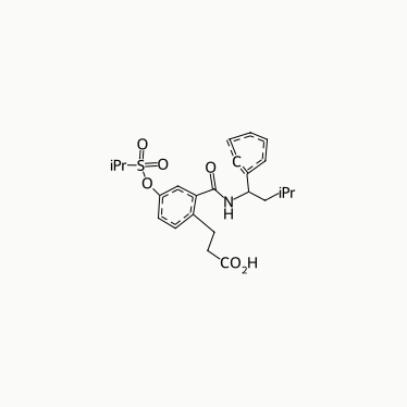 CC(C)CC(NC(=O)c1cc(OS(=O)(=O)C(C)C)ccc1CCC(=O)O)c1ccccc1